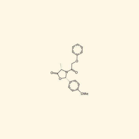 COc1ccc([C@@H]2OC(=O)[C@H](C)N2C(=O)COc2ccccc2)cc1